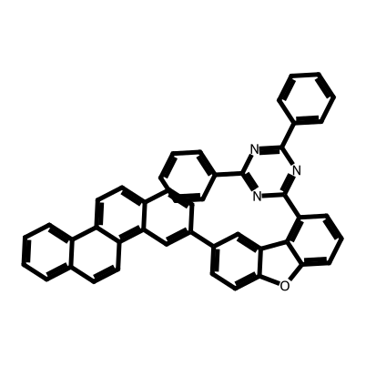 c1ccc(-c2nc(-c3ccccc3)nc(-c3cccc4oc5ccc(-c6ccc7ccc8c9ccccc9ccc8c7c6)cc5c34)n2)cc1